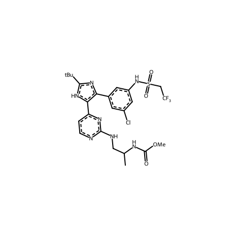 COC(=O)NC(C)CNc1nccc(-c2[nH]c(C(C)(C)C)nc2-c2cc(Cl)cc(NS(=O)(=O)CC(F)(F)F)c2)n1